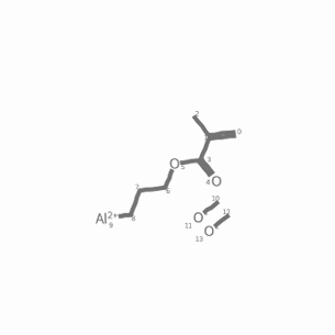 C=C(C)C(=O)OCC[CH2][Al+2].C[O-].C[O-]